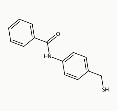 O=C(Nc1ccc(CS)cc1)c1ccccc1